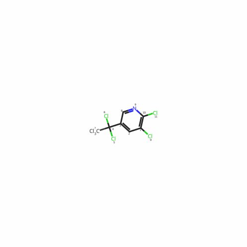 Clc1cc(C(Cl)(Cl)C(Cl)(Cl)Cl)cnc1Cl